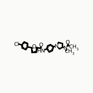 CC(=O)N(C)C1CCN(c2ccc(NC(=O)c3ccc(-c4ccc(Cl)cc4)o3)cc2)C1